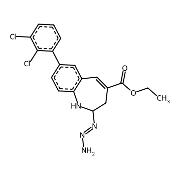 CCOC(=O)C1=Cc2cc(-c3cccc(Cl)c3Cl)ccc2NC(N=NN)C1